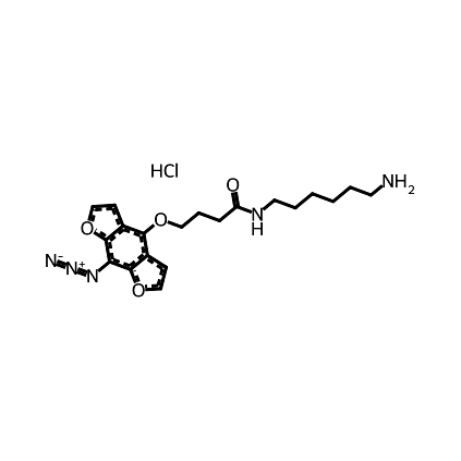 Cl.[N-]=[N+]=Nc1c2occc2c(OCCCC(=O)NCCCCCCN)c2ccoc12